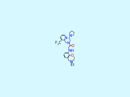 CCN1CCOc2c(cccc2NCC(=O)N(CCN2CCCC2)Cc2ncccc2C(F)(F)F)C1